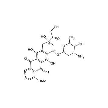 COc1cccc2c1C(=P)c1c(O)c3c(c(O)c1C2=O)C[C@@](O)(C(=O)CO)C[C@@H]3OC1CC(N)C(O)C(C)O1